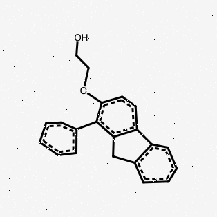 OCCOc1ccc2c(c1-c1ccccc1)Cc1ccccc1-2